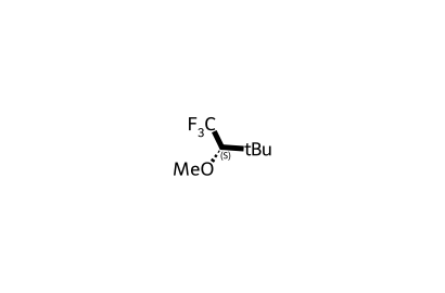 CO[C@@H](C(C)(C)C)C(F)(F)F